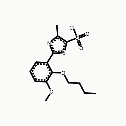 CCCCOc1c(OC)cccc1-c1nc(C)c(S(=O)(=O)Cl)s1